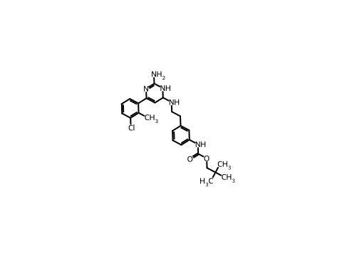 Cc1c(Cl)cccc1C1=CC(NCCc2cccc(NC(=O)OCC(C)(C)C)c2)NC(N)=N1